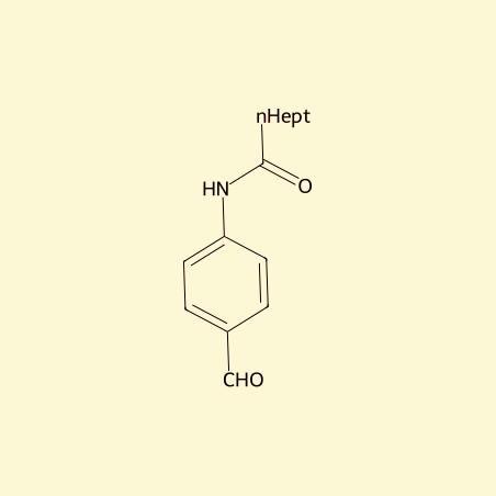 CCCCCCCC(=O)Nc1ccc(C=O)cc1